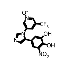 O=[N+]([O-])c1cc(-c2cncn2-c2cc(C(F)(F)F)c[n+]([O-])c2)cc(O)c1O